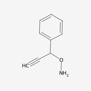 C#CC(ON)c1ccccc1